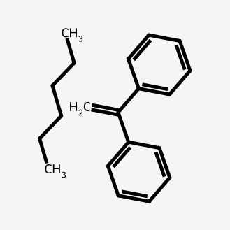 C=C(c1ccccc1)c1ccccc1.CCCCCC